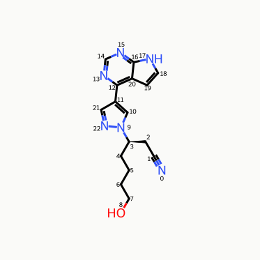 N#CC[C@@H](CCCCO)n1cc(-c2ncnc3[nH]ccc23)cn1